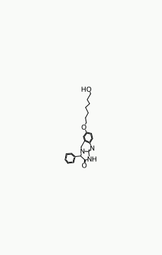 O=C1NC2=Nc3ccc(OCCCCCCCO)cc3CN2C1c1ccccc1